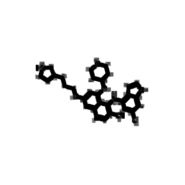 N#Cc1cnc2cc(OCCCC3CCNC3)cc(OC3CCOCC3)c2c1Nc1cc(Cl)cc2occc12